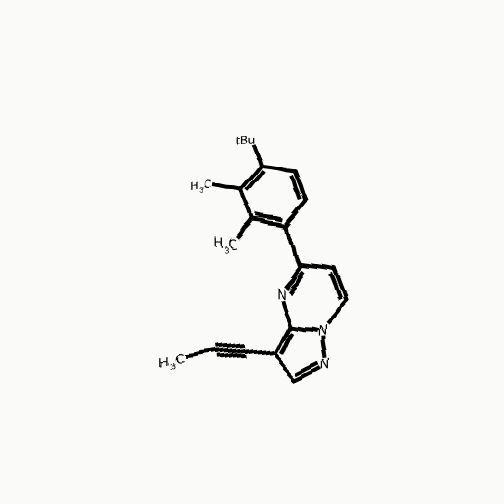 CC#Cc1cnn2ccc(-c3ccc(C(C)(C)C)c(C)c3C)nc12